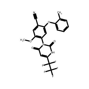 COc1cc(C#N)c(Oc2ccccc2C)cc1-n1c(=O)cc(C(F)(F)C(F)(F)F)[nH]c1=O